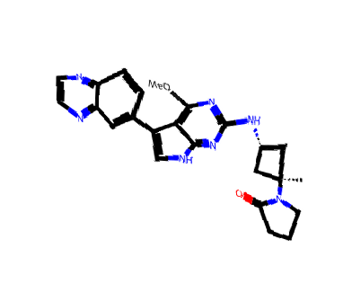 COc1nc(N[C@H]2C[C@](C)(N3CCCC3=O)C2)nc2[nH]cc(-c3ccc4nccnc4c3)c12